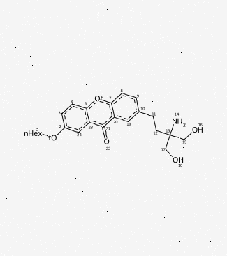 CCCCCCOc1ccc2oc3ccc(CCC(N)(CO)CO)cc3c(=O)c2c1